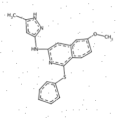 COc1ccc2c(Sc3ccccc3)nc(Nc3cc(C)[nH]n3)cc2c1